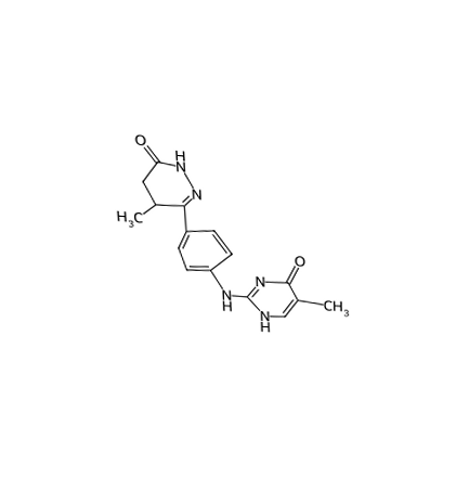 Cc1c[nH]c(Nc2ccc(C3=NNC(=O)CC3C)cc2)nc1=O